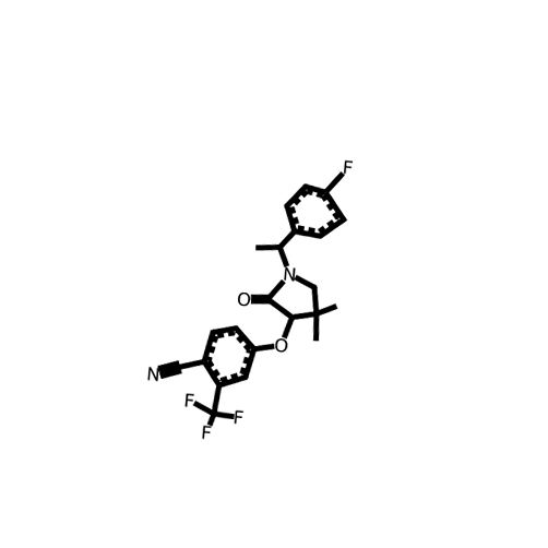 CC(c1ccc(F)cc1)N1CC(C)(C)C(Oc2ccc(C#N)c(C(F)(F)F)c2)C1=O